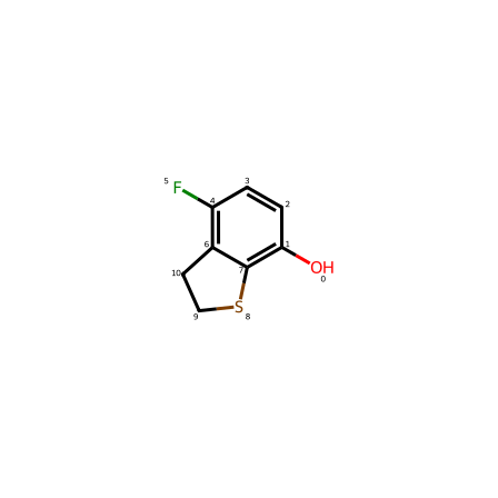 Oc1ccc(F)c2c1SCC2